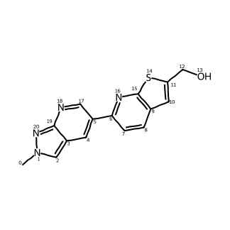 Cn1cc2cc(-c3ccc4cc(CO)sc4n3)cnc2n1